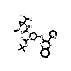 C=C[C@@H]1C[C@]1(NC(=O)[C@@H]1C[C@@H](Oc2nc3ccccc3nc2-c2cccs2)CN1C(=O)OC(C)(C)C)C(=O)O